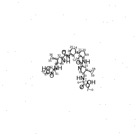 CCOC(=O)[C@@](C)(CO)NCc1cnc(C(=O)Nc2cccc(-c3cccc(NC(=O)c4cc(C5CC5)c(CN[C@@](C)(CO)C(=O)OCC)cn4)c3C)c2C)cc1C1CC1